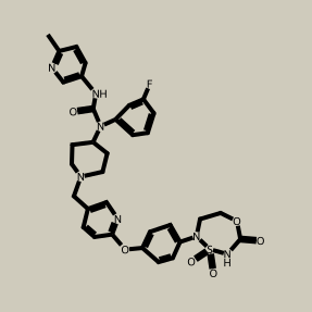 Cc1ccc(NC(=O)N(c2cccc(F)c2)C2CCN(Cc3ccc(Oc4ccc(N5CCOC(=O)NS5(=O)=O)cc4)nc3)CC2)cn1